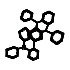 c1ccc(N(c2ccccc2)c2ccccc2-c2ccc3c(c2)C2(c4ccccc4)c4ccccc4C3(c3ccccc3)c3ccccc32)cc1